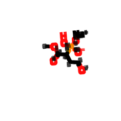 COC(=O)C(CC=O)P(=O)([O-])O.[Na+]